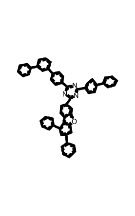 c1ccc(-c2ccc(-c3nc(-c4ccc(-c5cccc(-c6ccccc6)c5)cc4)nc(-c4ccc5c(c4)oc4cc(-c6ccccc6)cc(-c6ccccc6)c45)n3)cc2)cc1